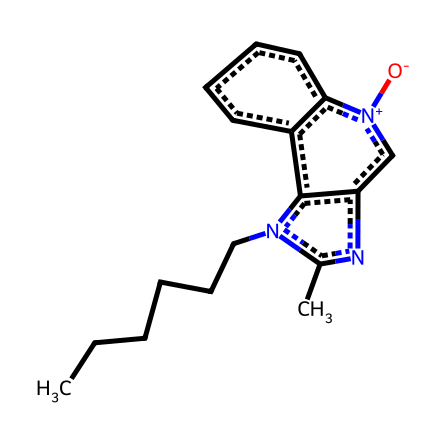 CCCCCCn1c(C)nc2c[n+]([O-])c3ccccc3c21